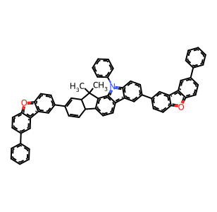 CC1(C)c2c(ccc3c4cc(-c5ccc6oc7ccc(-c8ccccc8)cc7c6c5)ccc4n(-c4ccccc4)c23)C2C=CC(c3ccc4oc5ccc(-c6ccccc6)cc5c4c3)=CC21